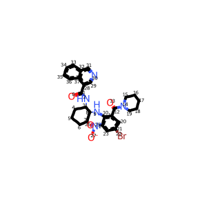 O=C(N[C@H]1CCCC[C@H]1Nc1c(C(=O)N2CCCCC2)cc(Br)cc1[N+](=O)[O-])c1cncc2ccccc12